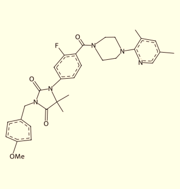 COc1ccc(CN2C(=O)N(c3ccc(C(=O)N4CCN(c5ncc(C)cc5C)CC4)c(F)c3)C(C)(C)C2=O)cc1